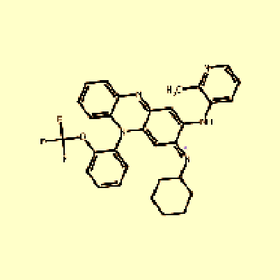 Cc1ncccc1Nc1cc2nc3ccccc3n(-c3ccccc3OC(F)(F)F)c-2c/c1=N\C1CCCCC1